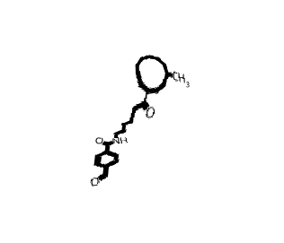 CC1CCCCCCC[C@H](C(=O)CCCCCNC(=O)c2ccc(C=O)cc2)CC1